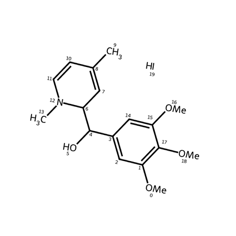 COc1cc(C(O)C2C=C(C)C=CN2C)cc(OC)c1OC.I